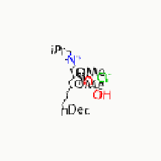 CCCCCCCCCCCCCCCC(CC[N+](C)(C)CC(C)C)[Si](OC)(OC)OCCO.[Cl-]